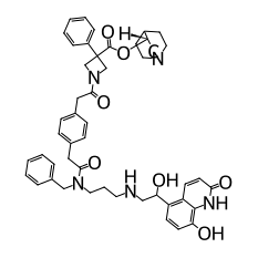 O=C(Cc1ccc(CC(=O)N2CC(C(=O)O[C@H]3CN4CCC3CC4)(c3ccccc3)C2)cc1)N(CCCNCC(O)c1ccc(O)c2[nH]c(=O)ccc12)Cc1ccccc1